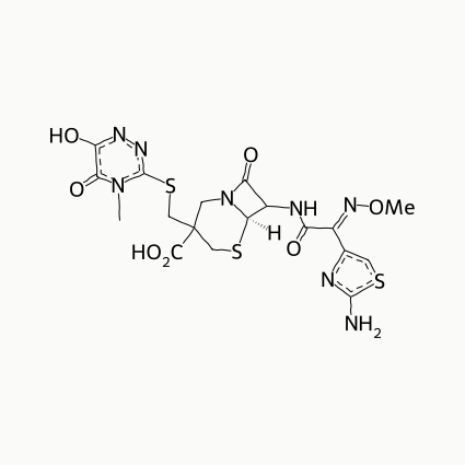 CON=C(C(=O)NC1C(=O)N2CC(CSc3nnc(O)c(=O)n3C)(C(=O)O)CS[C@H]12)c1csc(N)n1